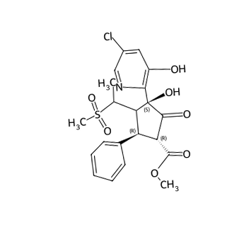 COC(=O)[C@H]1C(=O)[C@@](O)(c2ncc(Cl)cc2O)C(C(C)S(C)(=O)=O)[C@@H]1c1ccccc1